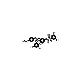 CSc1ccc(CN(Cc2cccc(CNS(=O)(=O)c3cc(Cl)cc(Cl)c3O)c2)S(=O)(=O)c2cc(Cl)cc(Cl)c2O)cc1